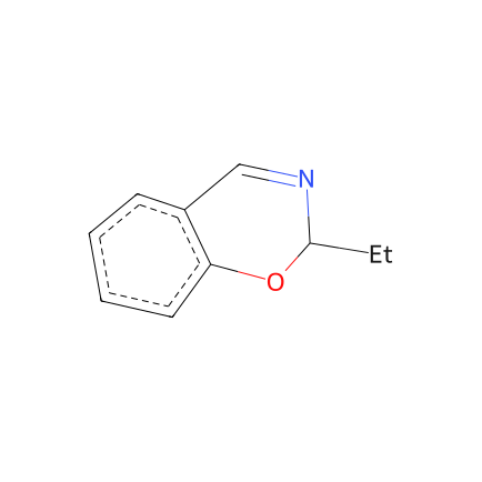 CCC1N=Cc2ccccc2O1